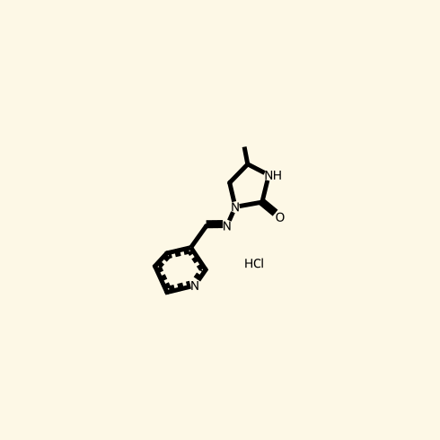 CC1CN(N=Cc2cccnc2)C(=O)N1.Cl